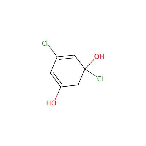 OC1=CC(Cl)=CC(O)(Cl)C1